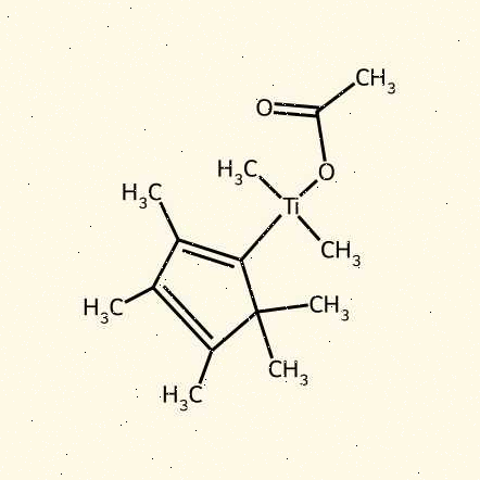 CC(=O)[O][Ti]([CH3])([CH3])[C]1=C(C)C(C)=C(C)C1(C)C